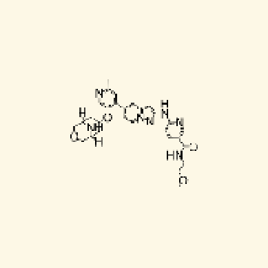 COCCNC(=O)c1ccc(Nc2cc3cc(-c4cc(C)ncc4OC4C[C@H]5COC[C@@H](C4)N5)ccn3n2)nc1